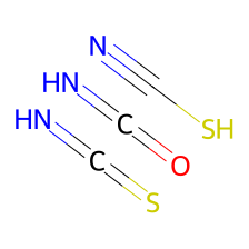 N#CS.N=C=O.N=C=S